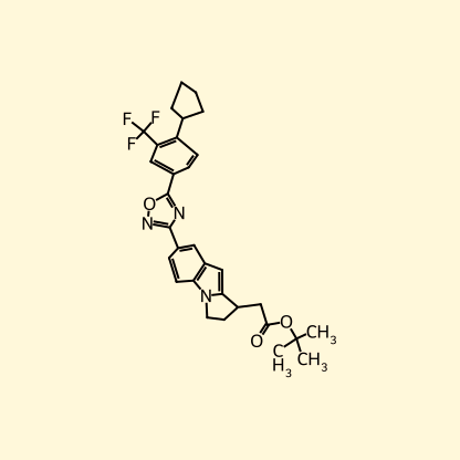 CC(C)(C)OC(=O)CC1CCn2c1cc1cc(-c3noc(-c4ccc(C5CCCC5)c(C(F)(F)F)c4)n3)ccc12